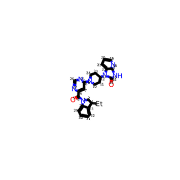 CCC1CN(C(=O)c2cc(N3CCC(n4c(=O)[nH]c5ncccc54)CC3)ncn2)c2ccccc21